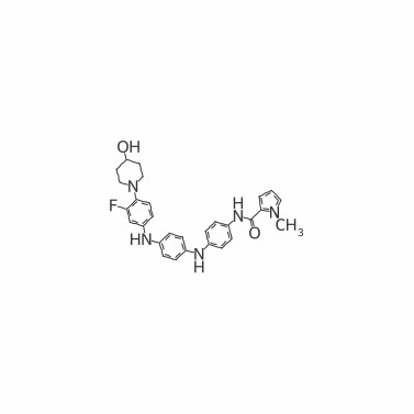 Cn1cccc1C(=O)Nc1ccc(Nc2ccc(Nc3ccc(N4CCC(O)CC4)c(F)c3)cc2)cc1